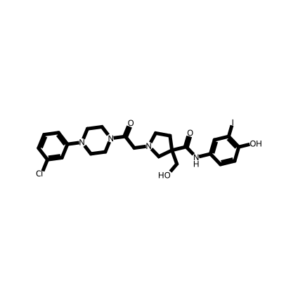 O=C(CN1CCC(CO)(C(=O)Nc2ccc(O)c(I)c2)C1)N1CCN(c2cccc(Cl)c2)CC1